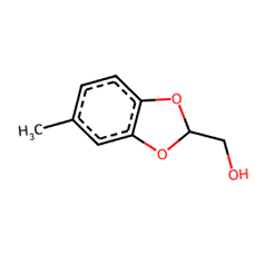 Cc1ccc2c(c1)OC(CO)O2